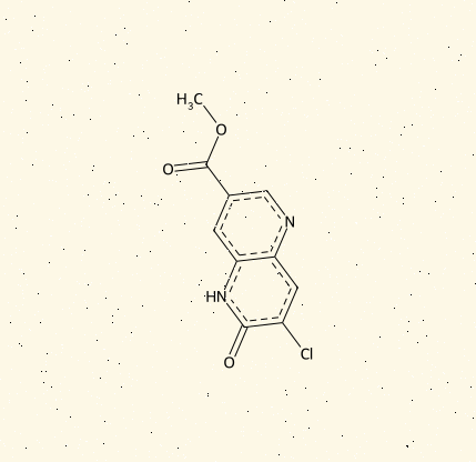 COC(=O)c1cnc2cc(Cl)c(=O)[nH]c2c1